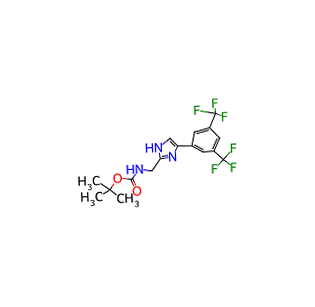 CC(C)(C)OC(=O)NCc1nc(-c2cc(C(F)(F)F)cc(C(F)(F)F)c2)c[nH]1